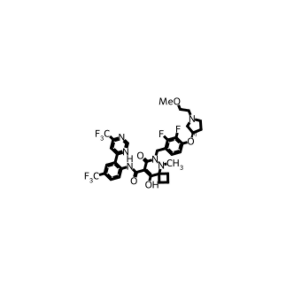 COCCN1CC[C@@H](Oc2ccc(CN3C(=O)C(C(=O)Nc4ccc(C(F)(F)F)cc4-c4cc(C(F)(F)F)ncn4)=C(O)C4(CCC4)N3C)c(F)c2F)C1